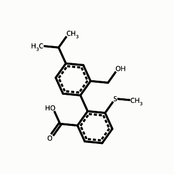 CSc1cccc(C(=O)O)c1-c1ccc(C(C)C)cc1CO